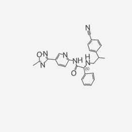 Cc1nc(-c2ccc(NC(=O)[C@@H](NCC(C)c3ccc(C#N)cc3)c3ccccc3)nc2)no1